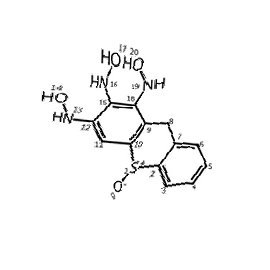 [O-][S+]1c2ccccc2Cc2c1cc(NO)c(NO)c2NO